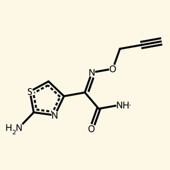 C#CCON=C(C([NH])=O)c1csc(N)n1